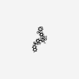 Cc1c(NC(=O)N2CCC3CCCCC3C2)cccc1-c1cn(C)c(=O)c(Nc2ccc(C(=O)N3CCCOCC3)cc2)n1